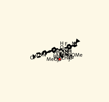 COC(=O)NC(C(=O)N[C@@H](Cc1ccc(C#Cc2ccc(N3CCN(C4COC4)CC3)nc2)cc1)[C@@H](O)CN(Cc1c(F)cc(-c2ccn(C3CC3)n2)cc1F)NC(=O)[C@@H](NC(=O)OC)C(C)(C)C)C(C)(C)C(F)(F)F